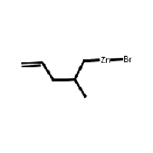 C=CCC(C)[CH2][Zn][Br]